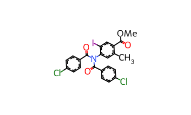 COC(=O)c1cc(I)c(N(C(=O)c2ccc(Cl)cc2)C(=O)c2ccc(Cl)cc2)cc1C